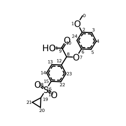 COc1cccc(OC(C(=O)O)c2ccc(S(=O)(=O)C3CC3)cc2)c1